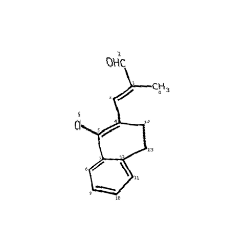 CC(C=O)=CC1=C(Cl)c2ccccc2CC1